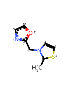 CC1SC=CN1Cc1ncco1